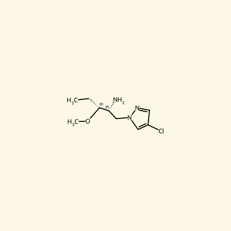 CC[C@@H](OC)[C@H](N)Cn1cc(Cl)cn1